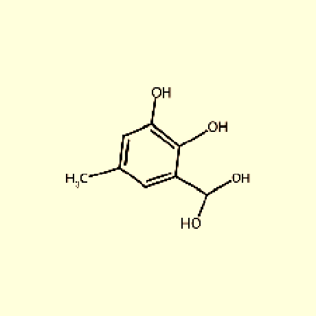 Cc1cc(O)c(O)c(C(O)O)c1